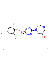 OC1CNCCN(c2ncc(OCc3c(Cl)cccc3Cl)cn2)C1